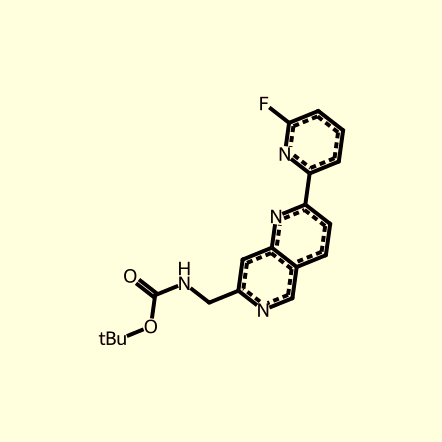 CC(C)(C)OC(=O)NCc1cc2nc(-c3cccc(F)n3)ccc2cn1